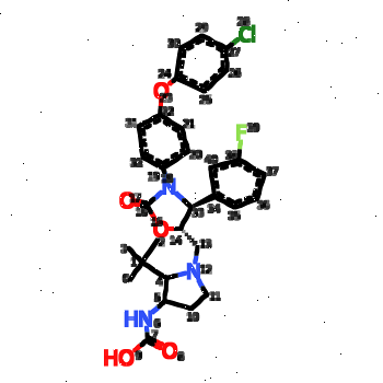 CC(C)(C)C1C(NC(=O)O)CCN1C[C@@H]1OC(=O)N(c2ccc(Oc3ccc(Cl)cc3)cc2)[C@H]1c1cccc(F)c1